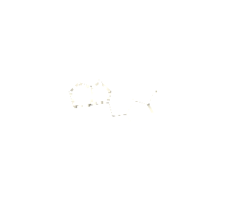 CCCC(=O)NC(Cc1c[nH]c2ccccc12)C(=O)OCC